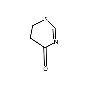 O=C1CCS[C]=N1